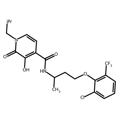 CC(C)Cn1ccc(C(=O)NC(C)CCOc2c(Cl)cccc2C(F)(F)F)c(O)c1=O